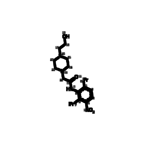 CC(C)c1ccc([N+](=O)[O-])c(C(C)C)c1NC(=O)CN1CCN(CCO)CC1